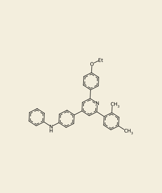 CCOc1ccc(-c2cc(-c3ccc(Nc4ccccc4)cc3)cc(-c3ccc(C)cc3C)n2)cc1